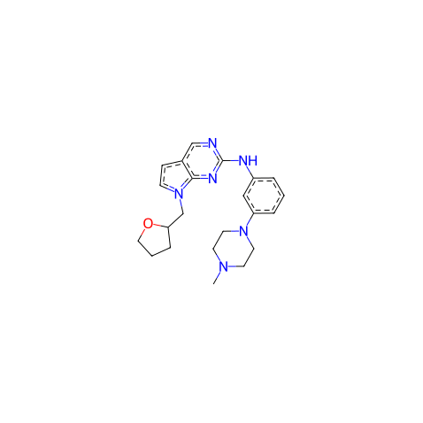 CN1CCN(c2cccc(Nc3ncc4ccn(CC5CCCO5)c4n3)c2)CC1